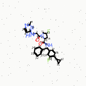 Cc1nccc(NCC(=O)N2C[C@H](F)C[C@H]2C(=O)N[C@@H](c2ccccc2)c2ccc(C3CC3)c(F)c2)n1